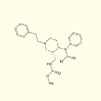 CCC(=O)N(c1ccccc1)C1CCN(CCc2ccccc2)C[C@H]1CNC(=O)OC(C)(C)C